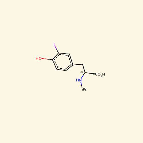 CC(C)N[C@@H](Cc1ccc(O)c(I)c1)C(=O)O